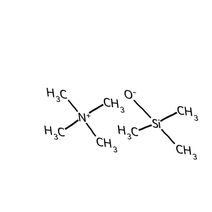 C[N+](C)(C)C.C[Si](C)(C)[O-]